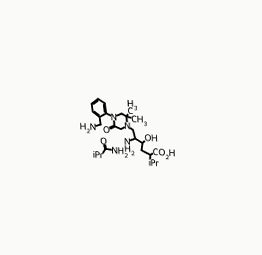 CC(C)C(CC(O)C(N)CN1CC(=O)N(c2ccccc2CN)CC1(C)C)C(=O)O.CC(C)C(N)=O